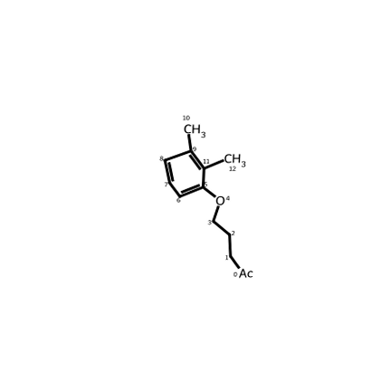 CC(=O)CCCOc1cccc(C)c1C